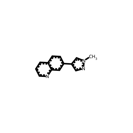 Cn1cc(-c2ccc3cccnc3c2)cn1